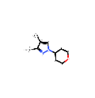 O=C(O)c1nn(C2CCOCC2)cc1[N+](=O)[O-]